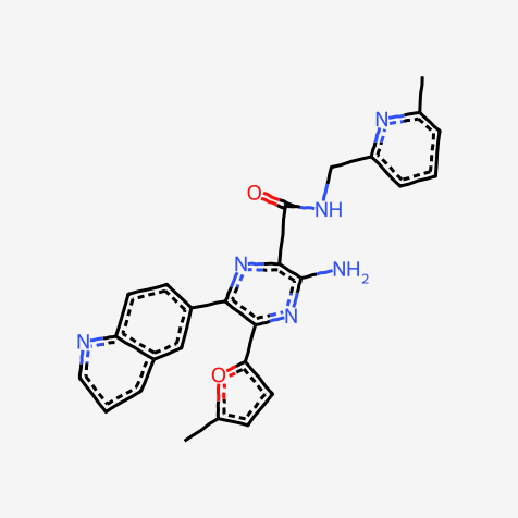 Cc1cccc(CNC(=O)c2nc(-c3ccc4ncccc4c3)c(-c3ccc(C)o3)nc2N)n1